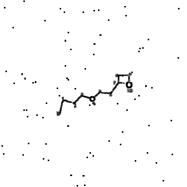 CCCCOCCC1CCO1